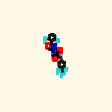 O=C1/C(=C/c2ccc(C(F)(F)F)cc2)OCN1C1COC(c2c(F)cccc2F)=N1